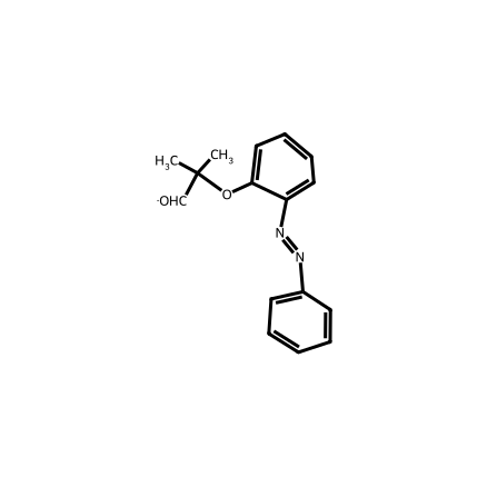 CC(C)([C]=O)Oc1ccccc1N=Nc1ccccc1